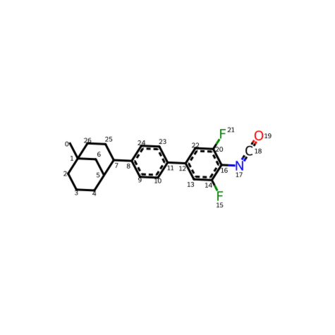 CC12CCCC(C1)C(c1ccc(-c3cc(F)c(N=C=O)c(F)c3)cc1)CC2